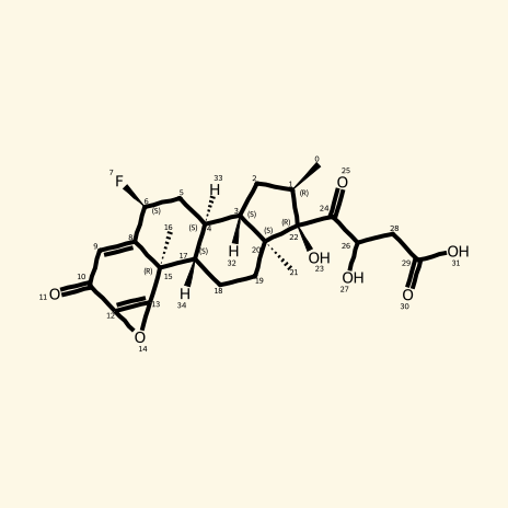 C[C@@H]1C[C@H]2[C@@H]3C[C@H](F)C4=CC(=O)C5=C(O5)[C@]4(C)[C@H]3CC[C@]2(C)[C@@]1(O)C(=O)C(O)CC(=O)O